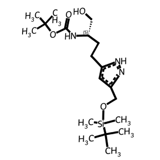 CC(C)(C)OC(=O)N[C@H](CO)CCc1cc(CO[Si](C)(C)C(C)(C)C)n[nH]1